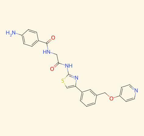 Nc1ccc(C(=O)NCC(=O)Nc2nc(-c3cccc(COc4ccncc4)c3)cs2)cc1